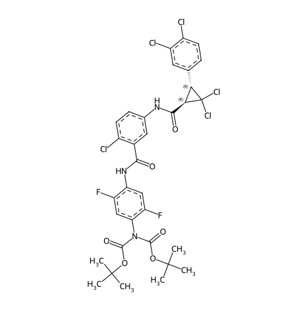 CC(C)(C)OC(=O)N(C(=O)OC(C)(C)C)c1cc(F)c(NC(=O)c2cc(NC(=O)[C@H]3[C@H](c4ccc(Cl)c(Cl)c4)C3(Cl)Cl)ccc2Cl)cc1F